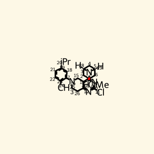 CO[C@@H]1C[C@@H]2C[C@H](C1)N2c1nc(Cl)nc2c1CN(c1cc(C(C)C)ccc1C)CC2